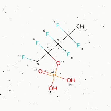 CC(F)(F)C(F)(F)C(F)(CF)OP(=O)(O)O